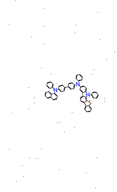 c1ccc(N(c2ccc(-c3ccc(N(c4ccccc4)c4cccc5ccccc45)cc3)cc2)c2ccc3c(c2)c2ccc4c5ccccc5sc4c2n3-c2ccccc2)cc1